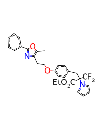 CCOC(=O)C(Cc1ccc(OCCc2nc(-c3ccccc3)oc2C)cc1)(n1cccc1)C(F)(F)F